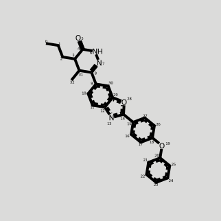 CCCC1C(=O)NN=C(c2ccc3nc(-c4ccc(Oc5ccccc5)cc4)oc3c2)C1C